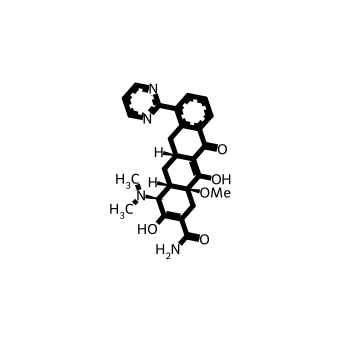 CO[C@@]12CC(C(N)=O)=C(O)[C@@H](N(C)C)[C@@H]1C[C@@H]1Cc3c(cccc3-c3ncccn3)C(=O)C1=C2O